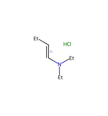 CC/C=C/N(CC)CC.Cl